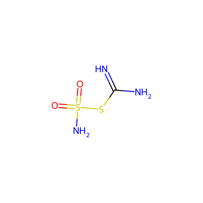 N=C(N)SS(N)(=O)=O